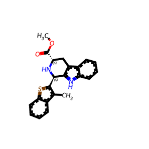 COC(=O)[C@@H]1Cc2c([nH]c3ccccc23)[C@@H](c2sc3ccccc3c2C)N1